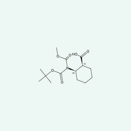 COC(=O)N(C(=O)OC(C)(C)C)[C@@H]1CCCC[C@@H]1C(=O)O